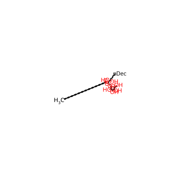 CC#CC#CC#CC#CC#CC#CC#CC#CC#CC#CC#CC#CC(=O)O[C@@H](COC1OC(CO)C(O)C(O)C1O)[C@H](O)[C@H](O)CCCCCCCCCCCCCC